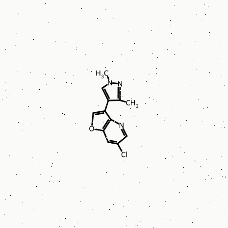 Cc1nn(C)cc1-c1coc2cc(Cl)cnc12